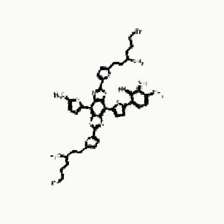 CC1=CC=C(c2ccc(-c3c4nc(-c5ccc(CCC(C)CCCC(C)C)s5)sc4c(-c4ccc(C)s4)c4nc(-c5ccc(CCC(C)CCCC(C)C)s5)sc34)s2)C(=N)C1=N